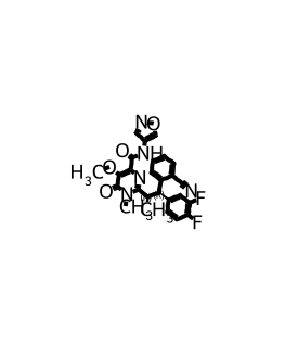 COc1c(C(=O)Nc2cnoc2)nc([C@H](C)[C@H](c2ccc(F)c(F)c2)c2ccccc2C#N)n(C)c1=O